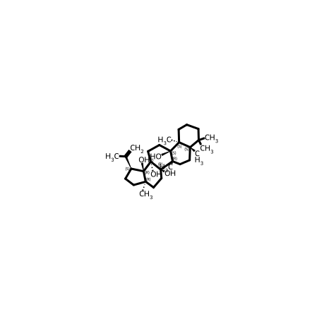 C=C(C)[C@@H]1CC[C@]2(C)CC[C@@]3(O)[C@]4(C)CC[C@@]5(C)C(C)(C)CCC[C@]5(C)[C@@]4(O)CC[C@]3(O)[C@@]12O